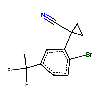 N#CC1(c2cc(C(F)(F)F)ccc2Br)CC1